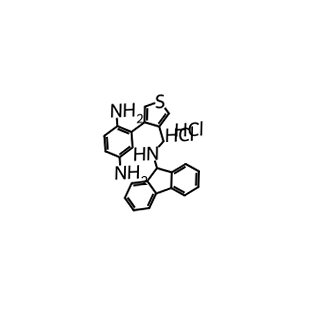 Cl.Cl.Nc1ccc(N)c(-c2cscc2CNC2c3ccccc3-c3ccccc32)c1